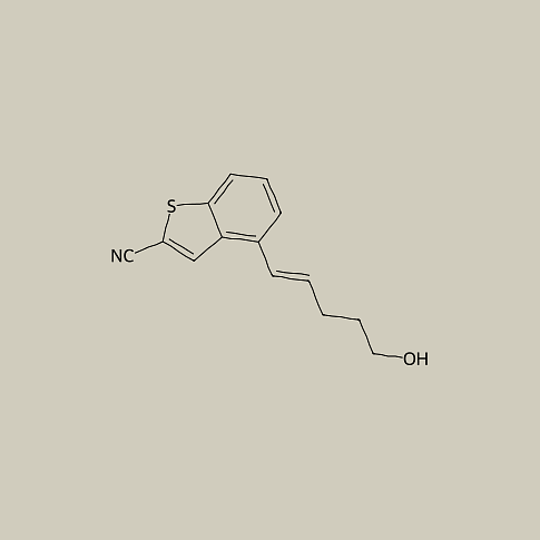 N#Cc1cc2c(/C=C/CCCO)cccc2s1